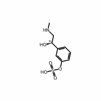 CNC[C@H](O)c1cccc(OS(=O)(=O)O)c1